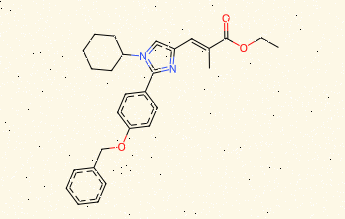 CCOC(=O)/C(C)=C/c1cn(C2CCCCC2)c(-c2ccc(OCc3ccccc3)cc2)n1